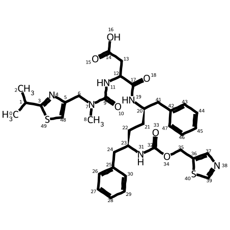 CC(C)c1nc(CN(C)C(=O)NC(CC(=O)O)C(=O)N[C@H](CC[C@H](Cc2ccccc2)NC(=O)OCc2cncs2)Cc2ccccc2)cs1